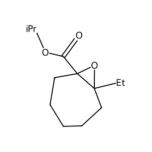 CCC12CCCCCC1(C(=O)OC(C)C)O2